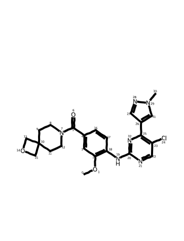 COc1cc(C(=O)N2CCC3(CC2)COC3)ccc1Nc1ncc(Cl)c(-c2cnn(C)c2)n1